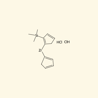 C[Si](C)(C)C1=[C]([Zr][C]2=CC=CC2)CC=C1.Cl.Cl